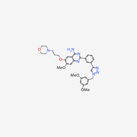 COc1cc(Cn2cc(-c3cccc(-c4nc(N)c5cc(OCCCN6CCOCC6)c(OC)cc5n4)c3)nn2)cc(OC)c1